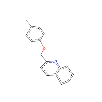 [CH2]c1ccc(OCc2ccc3ccccc3n2)cc1